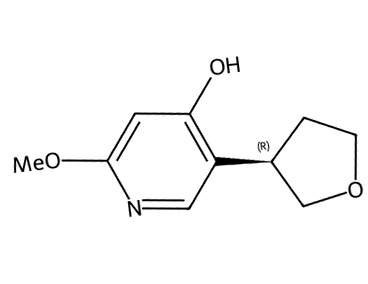 COc1cc(O)c([C@H]2CCOC2)cn1